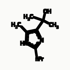 CCCc1nc(C(C)(C)O)c(C)[nH]1